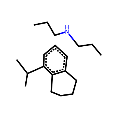 CC(C)c1cccc2c1CCCC2.CCCNCCC